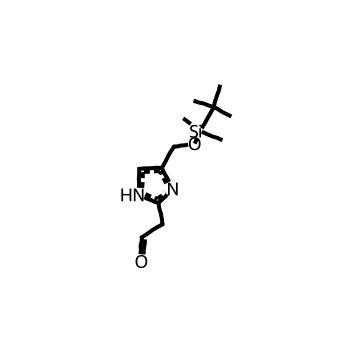 CC(C)(C)[Si](C)(C)OCc1c[nH]c(CC=O)n1